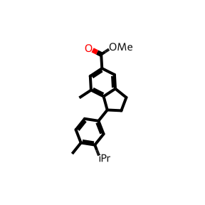 COC(=O)c1cc(C)c2c(c1)CCC2c1ccc(C)c(C(C)C)c1